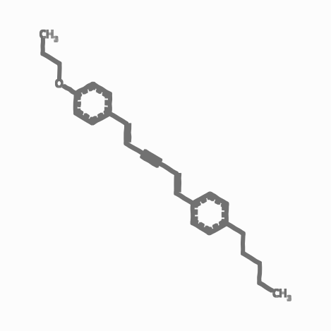 CCCCCc1ccc(C=CC#CC=Cc2ccc(OCCC)cc2)cc1